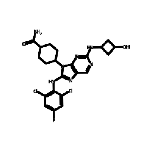 NC(=O)C1CCC(n2c(Nc3c(Cl)cc(F)cc3Cl)nc3cnc(NC4CC(O)C4)nc32)CC1